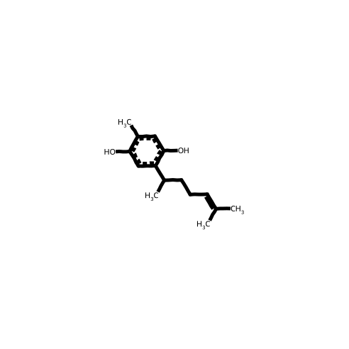 CC(C)=CCCC(C)c1cc(O)c(C)cc1O